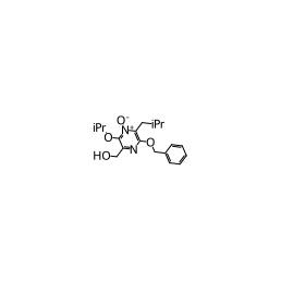 CC(C)Cc1c(OCc2ccccc2)nc(CO)c(OC(C)C)[n+]1[O-]